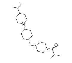 CC(C)C(=O)N1CCN(C[C@H]2CC[C@@H](N3CCC(C(C)C)CC3)CC2)CC1